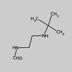 CC(C)(C)NCCN[C]=O